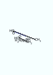 CCCCCCCCC/C=C/C=C/C=C/C=C/C=C/C(=O)O.N=C(N)NCCCC(N)C(=O)O